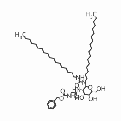 CCCCCCCCCCCCCCCCCCNC(=O)N(CCCCCCCCCCCCCCCCCC)[C@@H]1O[C@H](CO)[C@H](O)[C@H](O)[C@H]1NC(=O)CNC(=O)OCc1ccccc1